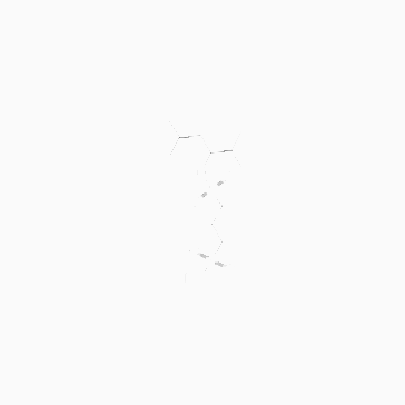 CC(C)CC(OS(=O)(=O)CCCS(=O)(=O)O)C(C)C